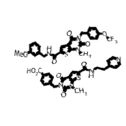 COc1cccc(CNC(=O)c2cc3c(=O)n(Cc4ccc(OC(F)(F)F)cc4)c(=O)n(C)c3s2)c1.Cn1c(=O)n(Cc2ccc(C(=O)O)cc2)c(=O)c2cc(C(=O)NCCc3ccncc3)sc21